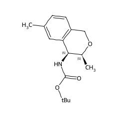 Cc1ccc2c(c1)[C@H](NC(=O)OC(C)(C)C)[C@H](C)OC2